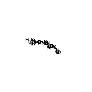 CN/C=C(\C=N)c1ccc(CNc2cc(-c3cnc4cc(OCCN5CCCOC5)ccn34)ncn2)cc1